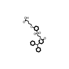 O=C(O)CCCOc1cccc(S(=O)(=O)CCn2cc(C(c3ccccc3)c3ccccc3)ccc2=O)c1